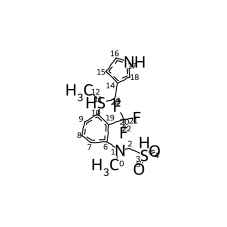 CN(C[SH](=O)=O)c1cccc([SH](C)Cc2cc[nH]c2)c1C(F)(F)F